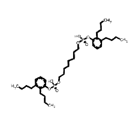 CCCCc1cccc(OP(=O)(O)OCCCCCCCCOP(=O)(O)Oc2cccc(CCCC)c2CCCC)c1CCCC